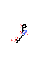 CCC(CCCCCN1C(=O)N/C(=C\c2ccccc2OC)C1=O)C(=O)O